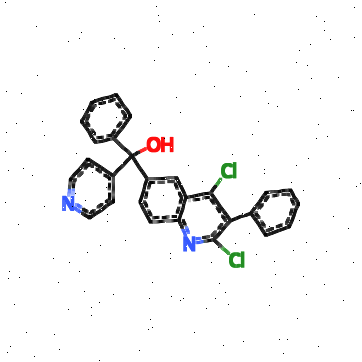 OC(c1ccccc1)(c1ccncc1)c1ccc2nc(Cl)c(-c3ccccc3)c(Cl)c2c1